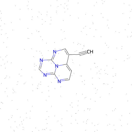 C#CC1=CN=C2N=CN=C3N=CC=C1N32